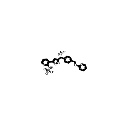 O=P([O-])([O-])Nc1ncccc1-c1cc(Cc2ccc(COc3ccccn3)cc2)no1.[Na+].[Na+]